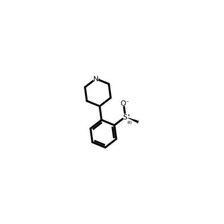 C[S@+]([O-])c1ccccc1C1CC[N]CC1